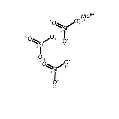 O=[Si]([O-])[O-].O=[Si]([O-])[O-].O=[Si]([O-])[O-].[Mo+6]